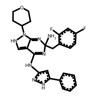 NC1(Cc2ccc(F)cc2F)N=C(Nc2cc(-c3ccccc3)[nH]n2)C2=CNN(C3CCOCC3)C2=N1